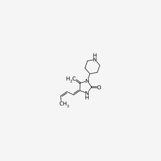 C=c1/c(=C\C=C/C)[nH]c(=O)n1C1CCNCC1